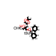 CC1(C)OC[C@@H](CC(O)(CC=O)CO[Si](c2ccccc2)(c2ccccc2)C(C)(C)C)O1